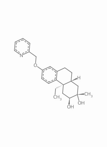 CC[C@@]12C[C@H](O)[C@@](C)(O)C[C@H]1CCc1cc(OCc3ccccn3)ccc12